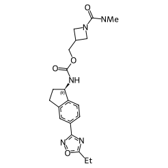 CCc1nc(-c2ccc3c(c2)CC[C@H]3NC(=O)OCC2CN(C(=O)NC)C2)no1